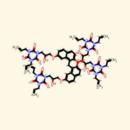 C=CCn1c(=O)n(CC=C)c(=O)n(CC(O)COc2ccc3ccc(OCC(O)Cn4c(=O)n(CC=C)c(=O)n(CC=C)c4=O)c(Cc4c(OCC(O)Cn5c(=O)n(CC=C)c(=O)n(CC=C)c5=O)ccc5ccc(OCC(O)Cn6c(=O)n(CC=C)c(=O)n(CC=C)c6=O)cc45)c3c2)c1=O